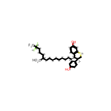 C[C@@]1(c2ccc(O)cc2)CSc2cc(O)ccc2[C@@H]1CCCCCCCCCC(CCCC(F)(F)C(F)(F)F)C(=O)O